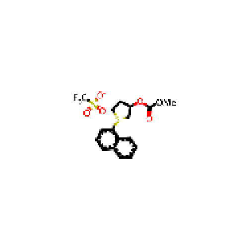 COC(=O)OC1CC[S+](c2cccc3ccccc23)C1.O=S(=O)([O-])C(F)(F)F